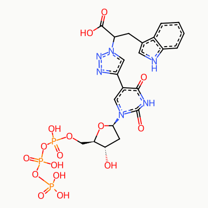 O=C(O)C(Cc1c[nH]c2ccccc12)n1cc(-c2cn([C@H]3C[C@H](O)[C@@H](COP(=O)(O)OP(=O)(O)OP(=O)(O)O)O3)c(=O)[nH]c2=O)nn1